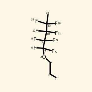 [CH2]CCOC(F)(F)C(F)(F)C(F)(F)C(C)(F)F